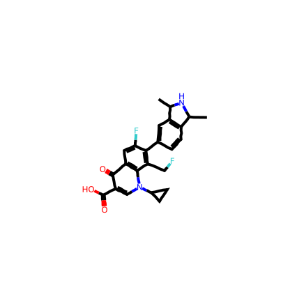 CC1NC(C)c2cc(-c3c(F)cc4c(=O)c(C(=O)O)cn(C5CC5)c4c3CF)ccc21